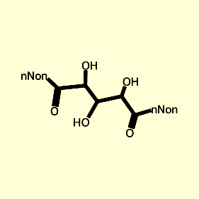 CCCCCCCCCC(=O)C(O)C(O)C(O)C(=O)CCCCCCCCC